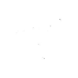 Cc1cc(Br)cc(/N=C/N(C)C)c1C#N